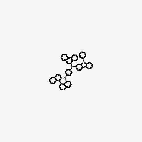 c1ccc(-n2c3ccccc3c3ccc(N(c4ccc(N5c6ccc7ccccc7c6-c6cccc7cccc5c67)cc4)c4cc5ccccc5c5ccccc45)cc32)cc1